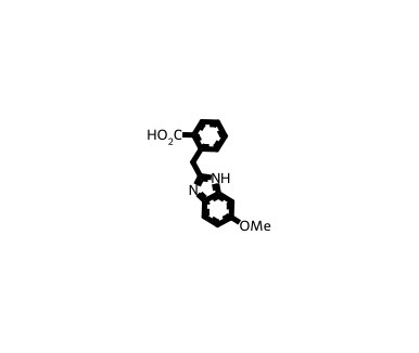 COc1ccc2nc(Cc3ccccc3C(=O)O)[nH]c2c1